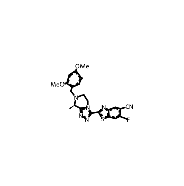 COc1ccc(CN2CCn3c(-c4nc5cc(C#N)c(F)cc5s4)nnc3[C@H]2C)c(OC)c1